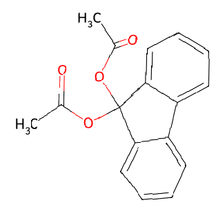 CC(=O)OC1(OC(C)=O)c2ccccc2-c2ccccc21